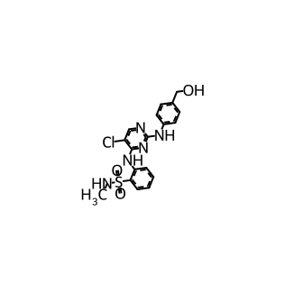 CNS(=O)(=O)c1ccccc1Nc1nc(Nc2ccc(CO)cc2)ncc1Cl